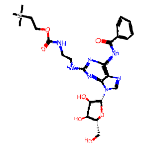 C[Si](C)(C)CCOC(=O)NCCNc1nc(NC(=O)c2ccccc2)c2ncn([C@@H]3O[C@H](CO)[C@@H](O)[C@H]3O)c2n1